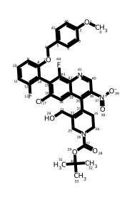 COc1ccc(COc2cccc(F)c2-c2c(Cl)cc3c(C4=C(CO)CN(C(=O)OC(C)(C)C)CC4)c([N+](=O)[O-])cnc3c2F)cc1